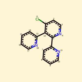 Clc1ccnc(-c2ccccn2)c1-c1ccccn1